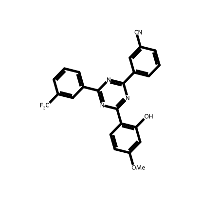 COc1ccc(-c2nc(-c3cccc(C#N)c3)nc(-c3cccc(C(F)(F)F)c3)n2)c(O)c1